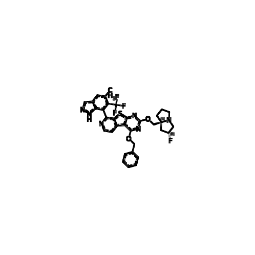 Cc1cc2cn[nH]c2c(-c2nccc3c2sc2nc(OC[C@@]45CCCN4C[C@H](F)C5)nc(OCc4ccccc4)c23)c1C(F)(F)F